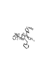 COc1ccc(N(C)C(=O)C(Cc2ccccc2)NC(=O)CNS(=O)(=O)c2ccccc2N)cc1